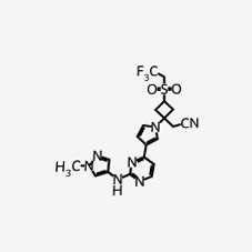 Cn1cc(Nc2nccc(-c3ccn(C4(CC#N)CC(S(=O)(=O)CC(F)(F)F)C4)c3)n2)cn1